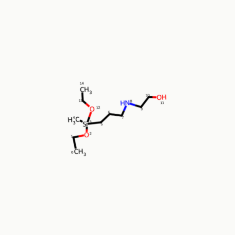 CCO[Si](C)(CCCNCCO)OCC